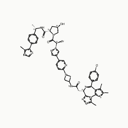 Cc1ncsc1-c1ccc([C@H](C)NC(=O)[C@@H]2C[C@@H](O)CN2C(=O)[C@@H](C(C)C)n2cc(-c3ccc(N4CC(NC(=O)C[C@@H]5N=C(c6ccc(Cl)cc6)c6c(sc(C)c6C)-n6c(C)nnc65)C4)nc3)cn2)cc1